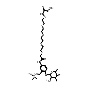 CC(=O)OC1C(Oc2ccc(NC(=O)COCCOCCOCCOCCONC(=O)OC(C)(C)C)cc2CO[Si](C)(C)C(C)(C)C)OC(C)C(C)C1C